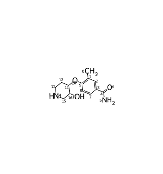 Cc1cc(C(N)=O)ccc1OC1CCNCC1O